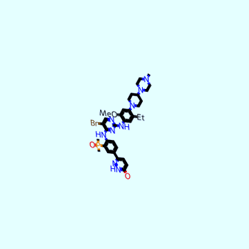 CCc1cc(Nc2ncc(Br)c(Nc3ccc(-c4ccc(=O)[nH]n4)cc3P(C)(C)=O)n2)c(OC)cc1N1CCC(N2CCN(C)CC2)CC1